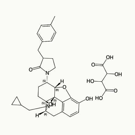 Cc1ccc(CC2CCN([C@H]3CC[C@@]4(O)[C@H]5Cc6ccc(O)c7c6[C@@]4(CCN5CC4CC4)[C@H]3O7)C2=O)cc1.O=C(O)C(O)C(O)C(=O)O